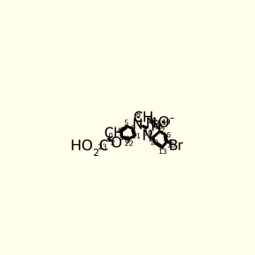 CC(Oc1ccc(N(C)c2nc3ccc(Br)cc3[n+]([O-])n2)cc1)C(=O)O